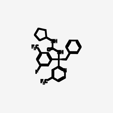 O=C(NC1CCCC1)N[C@@](Cc1ccccc1)(c1cc(F)cc(C(F)(F)F)c1)c1cc(C(F)(F)F)ccn1